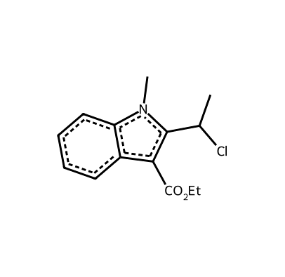 CCOC(=O)c1c(C(C)Cl)n(C)c2ccccc12